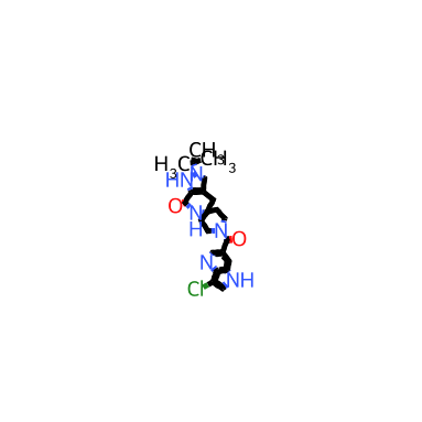 CC(C)(C)N1CC2=C(N1)C(=O)NC1(CCN(C(=O)c3cnc4c(Cl)c[nH]c4c3)CC1)C2